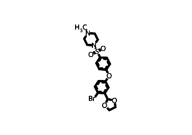 CN1CCN(S(=O)(=O)c2ccc(Oc3ccc(Br)c(C4OCCO4)c3)cc2)CC1